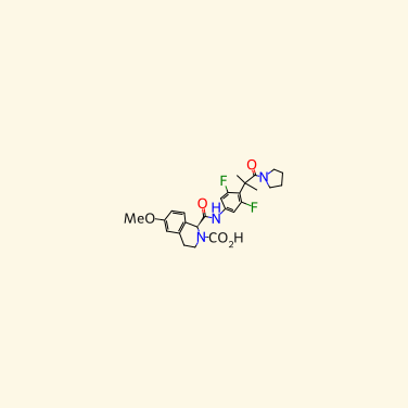 COc1ccc2c(c1)CCN(C(=O)O)[C@@H]2C(=O)Nc1cc(F)c(C(C)(C)C(=O)N2CCCC2)c(F)c1